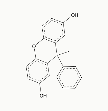 CC1(c2ccccc2)c2cc(O)ccc2Oc2ccc(O)cc21